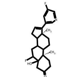 C[C@]12CCC3C(CC(F)C4(O)CC(=O)CC[C@]34C)C1CC=C2c1cncc(F)c1